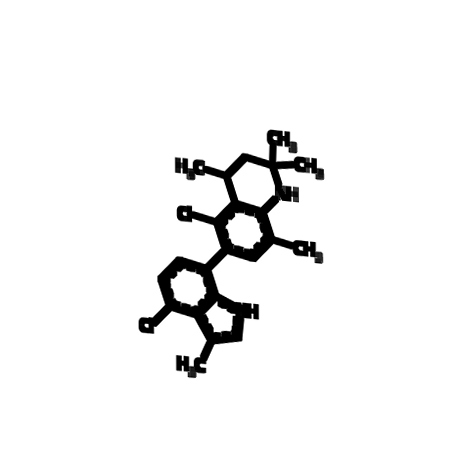 Cc1cc(-c2ccc(Cl)c3c(C)c[nH]c23)c(Cl)c2c1NC(C)(C)CC2C